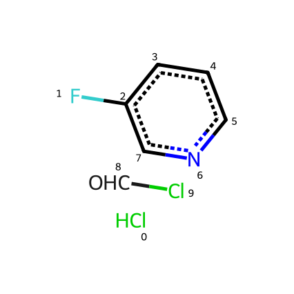 Cl.Fc1cccnc1.O=CCl